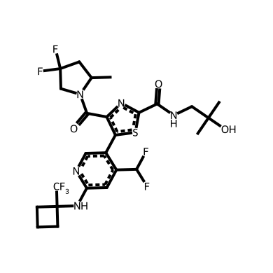 CC1CC(F)(F)CN1C(=O)c1nc(C(=O)NCC(C)(C)O)sc1-c1cnc(NC2(C(F)(F)F)CCC2)cc1C(F)F